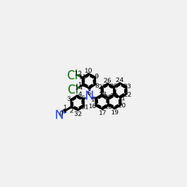 N#Cc1ccc(N(c2cccc(Cl)c2Cl)c2ccc3ccc4cccc5ccc2c3c45)cc1